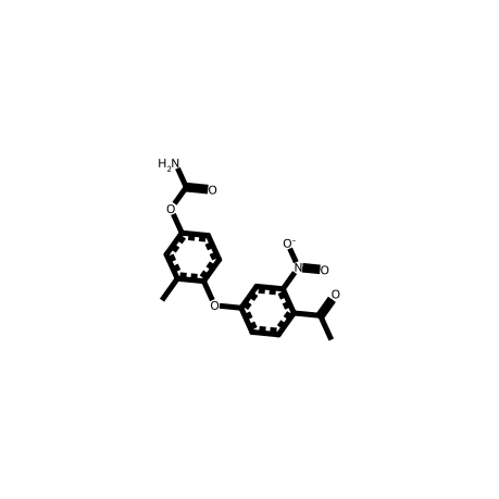 CC(=O)c1ccc(Oc2ccc(OC(N)=O)cc2C)cc1[N+](=O)[O-]